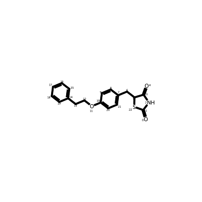 O=C1NC(=O)C(Cc2ccc(OCCc3ccccc3)cc2)S1